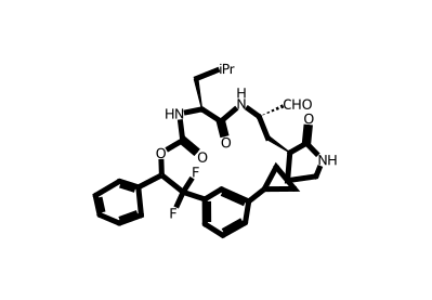 CC(C)C[C@H](NC(=O)OC(c1ccccc1)C(F)(F)c1cccc(C2CC2)c1)C(=O)N[C@H](C=O)C[C@@H]1CCNC1=O